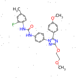 COCCOc1nc(-c2ccc(OC)cc2)n(-c2ccc(NC(=O)Nc3ccc(C)cc3F)cc2)n1